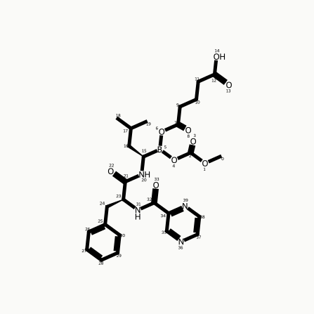 COC(=O)OB(OC(=O)CCCC(=O)O)[C@H](CC(C)C)NC(=O)[C@H](Cc1ccccc1)NC(=O)c1cnccn1